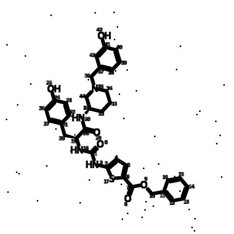 O=C(Nc1ccc(C(=O)OCc2ccccc2)s1)N[C@@H](Cc1ccc(O)cc1)C(=O)N[C@H]1CCCN(Cc2cccc(O)c2)C1